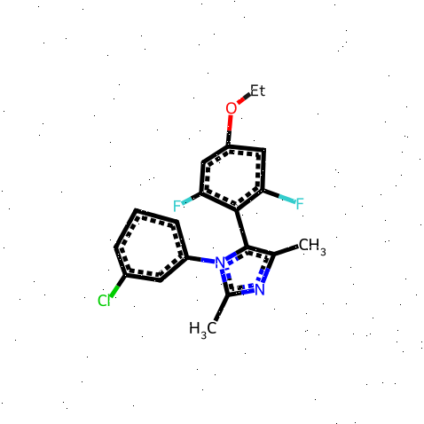 CCOc1cc(F)c(-c2c(C)nc(C)n2-c2cccc(Cl)c2)c(F)c1